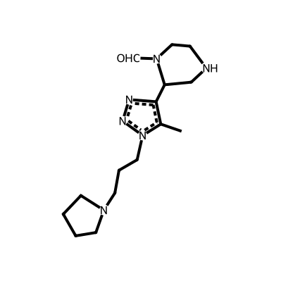 Cc1c(C2CNCCN2C=O)nnn1CCCN1CCCC1